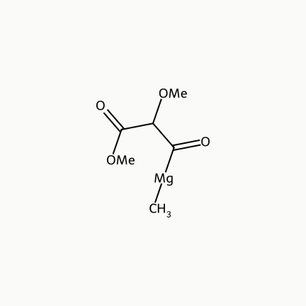 COC(=O)C(OC)[C](=O)[Mg][CH3]